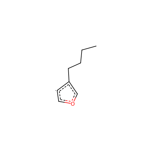 CCCCc1[c]coc1